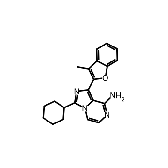 Cc1c(-c2nc(C3CCCCC3)n3ccnc(N)c23)oc2ccccc12